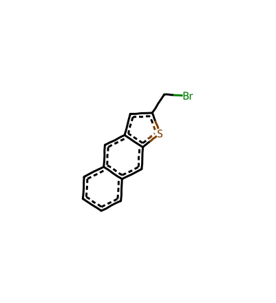 BrCc1cc2cc3ccccc3cc2s1